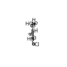 O=C(CCN(CCNCCc1ccc(O)c2[nH]c(=O)sc12)C1CCCC1)NCCc1cccc(Cl)c1